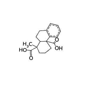 CC1(C(=O)O)CCCC2(C(=O)O)c3ccccc3CCC12